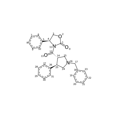 O=C1OC[C@H](c2ccccc2)N1C(=O)[C@@H]1CN(Cc2ccccc2)C[C@H]1c1ccccc1